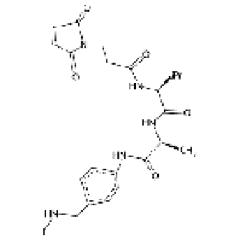 CC(C)[C@H](NC(=O)CCN1C(=O)C=CC1=O)C(=O)N[C@@H](C)C(=O)Nc1ccc(CNI)cc1